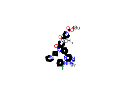 CC(C)n1cnc2cc(-c3ccc4c(c3)N([C@H]3C[C@@H](N5CCCCC5)C3)C(=O)C43CCN(C(=O)C4(C)CCN(C(=O)OC(C)(C)C)CC4)CC3)nc(Nc3ccccc3F)c21